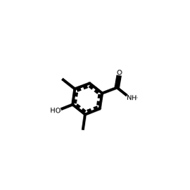 Cc1cc(C([NH])=O)cc(C)c1O